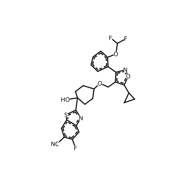 N#Cc1cc2sc(C3(O)CCC(OCc4c(-c5ccccc5OC(F)F)noc4C4CC4)CC3)nc2cc1F